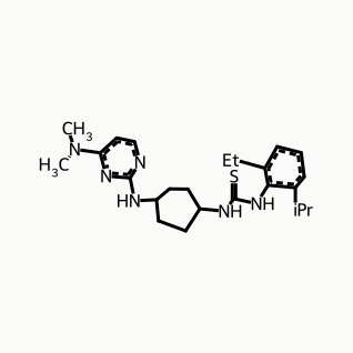 CCc1cccc(C(C)C)c1NC(=S)NC1CCC(Nc2nccc(N(C)C)n2)CC1